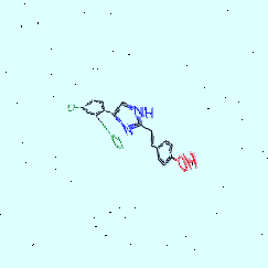 Oc1ccc(C=Cc2nc(-c3ccc(Cl)cc3Cl)c[nH]2)cc1